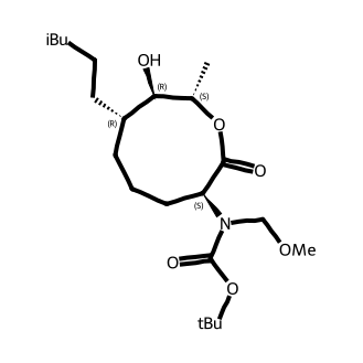 CCC(C)CC[C@H]1CCC[C@H](N(COC)C(=O)OC(C)(C)C)C(=O)O[C@@H](C)[C@@H]1O